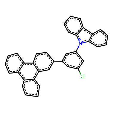 Clc1cc(-c2ccc3c4ccccc4c4ccccc4c3c2)cc(-n2c3ccccc3c3ccccc32)c1